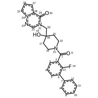 O=C(c1cccc(-c2ccccc2)c1F)N1CCC(O)(Cn2cnn3cccc3c2=O)CC1